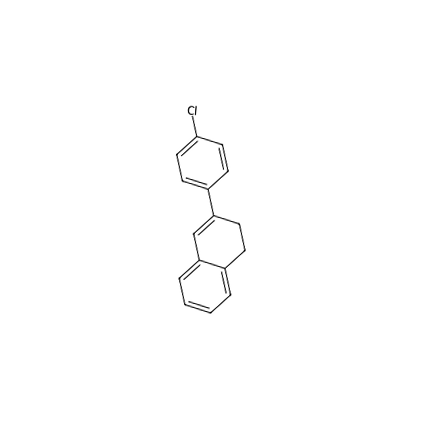 Clc1ccc(C2=Cc3ccccc3CC2)cc1